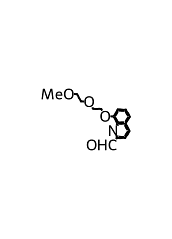 COCCOCCOc1cccc2ccc(C=O)nc12